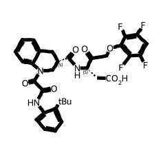 CC(C)(C)c1ccccc1NC(=O)C(=O)N1C[C@@H](C(=O)N[C@@H](CC(=O)O)C(=O)COc2c(F)c(F)cc(F)c2F)Cc2ccccc21